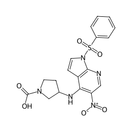 O=C(O)N1CCC(Nc2c([N+](=O)[O-])cnc3c2ccn3S(=O)(=O)c2ccccc2)C1